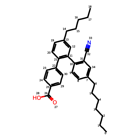 CCCCCCCc1ccc(-c2cc(CCCCC)ccc2-c2ccc(C(=O)O)cc2)c(C#N)c1